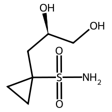 NS(=O)(=O)C1(C[C@@H](O)CO)CC1